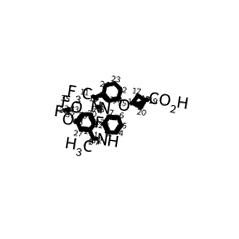 C[C@H](Nc1cccc(-n2nc(C(F)(F)F)c3c2[C@H](OC24CC(C(=O)O)(C2)C4)CCC3)c1)c1cc2c(cc1F)OC(F)(F)O2